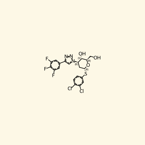 OC[C@H]1O[C@H](Sc2ccc(Cl)c(Cl)c2)C[C@@H](n2cc(-c3cc(F)c(F)c(F)c3)nn2)[C@@H]1O